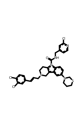 O=C(NCc1ccnc(Cl)c1)n1c2c(c3cc(N4CCCSC4)ccc31)CN(CC=Cc1ccc(Cl)c(Cl)c1)CC2